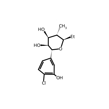 CC[C@H]1O[C@H](c2ccc(Cl)c(O)c2)[C@@H](O)[C@@H](O)[C@@H]1C